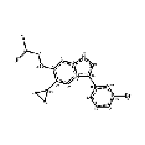 FC(F)COc1cc2ncc(-c3cccc(Br)n3)n2cc1C1CC1